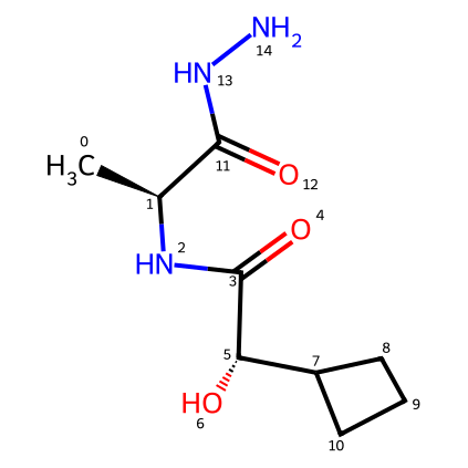 C[C@H](NC(=O)[C@@H](O)C1CCC1)C(=O)NN